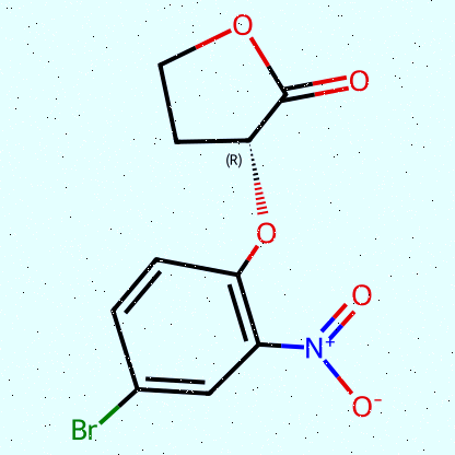 O=C1OCC[C@H]1Oc1ccc(Br)cc1[N+](=O)[O-]